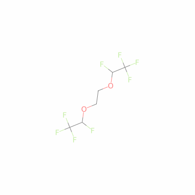 FC(OCCOC(F)C(F)(F)F)C(F)(F)F